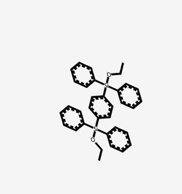 CCO[Si](c1ccccc1)(c1ccccc1)c1ccc([Si](OCC)(c2ccccc2)c2ccccc2)cc1